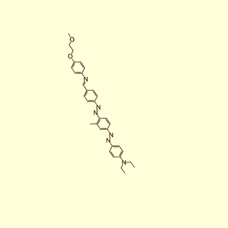 CCN(CC)c1ccc(N=Nc2ccc(N=Nc3ccc(C=Nc4ccc(OCCOC)cc4)cc3)c(C)c2)cc1